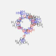 CC[C@H](C)[C@@H]1NC(=O)[C@@H](CCCNC(=N)N)NC(=O)[C@H](CC(C)C)NC(=O)[C@H]([C@H](O)C(C)C)NC(=O)[C@@H](NC(=O)[C@H](CC(C)C)NC(=O)[C@H](N)CC(C)C)[C@@H](c2ccccc2)OC(=O)[C@H](CO)NC(=O)[C@H]([C@H](O)C(=O)NCCOCCN=C(N(C)C)N(C)C)NC(=O)CNC(=O)[C@H]([C@H](C)O)NC1=O